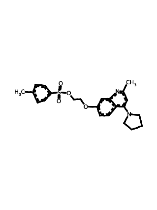 Cc1ccc(S(=O)(=O)OCCOc2ccc3c(N4CCCC4)cc(C)nc3c2)cc1